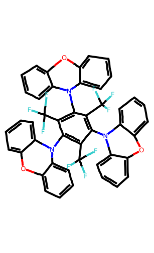 FC(F)(F)c1c(N2c3ccccc3Oc3ccccc32)c(C(F)(F)F)c(N2c3ccccc3Oc3ccccc32)c(C(F)(F)F)c1N1c2ccccc2Oc2ccccc21